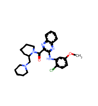 COc1ccc(Cl)c(Nc2nc3ccccc3nc2C(=O)N2CCCCC2CN2CCCCC2)c1